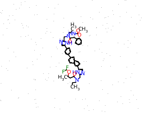 CCCN(Cc1ncc(-c2ccc3cc(-c4ccc(-c5cnc(CN(CCC)C(=O)[C@H](NC(=O)OC)c6ccccc6)[nH]5)cc4)ccc3c2)[nH]1)C(=O)C[C@@H](C)OC(F)F